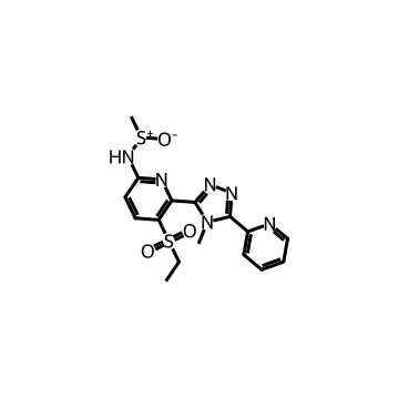 CCS(=O)(=O)c1ccc(N[S+](C)[O-])nc1-c1nnc(-c2ccccn2)n1C